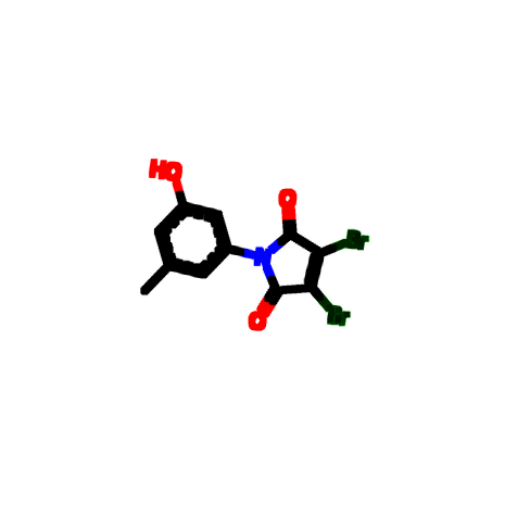 Cc1cc(O)cc(N2C(=O)C(Br)=C(Br)C2=O)c1